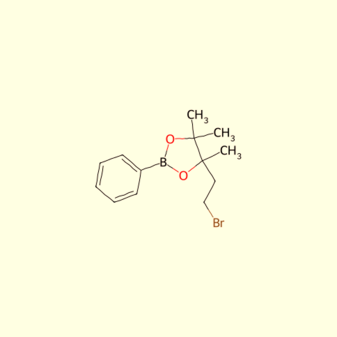 CC1(C)OB(c2ccccc2)OC1(C)CCBr